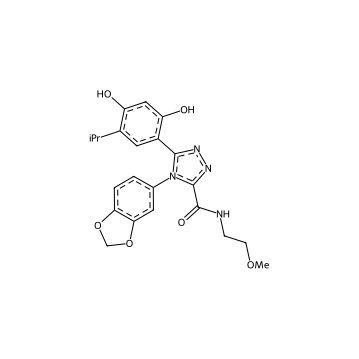 COCCNC(=O)c1nnc(-c2cc(C(C)C)c(O)cc2O)n1-c1ccc2c(c1)OCO2